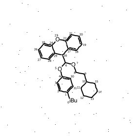 CCC(C)c1ccc(OC(OCCC2CCCCC2)C2c3ccccc3Oc3ccccc32)cc1